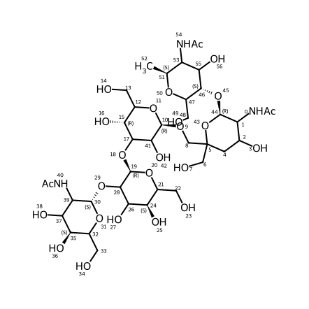 CC(=O)NC1C(O)CC(CO)(CO[C@@H]2OC(CO)[C@@H](O)C(O[C@H]3OC(CO)[C@@H](O)C(O)C3O[C@@H]3OC(CO)[C@@H](O)C(O)C3NC(C)=O)C2O)O[C@H]1O[C@@H]1C(CO)O[C@@H](C)C(NC(C)=O)C1O